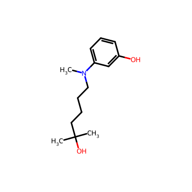 CN(CCCCC(C)(C)O)c1cccc(O)c1